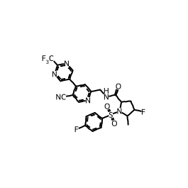 CC1C(F)CC(C(=O)NCc2cc(-c3cnc(C(F)(F)F)nc3)c(C#N)cn2)N1S(=O)(=O)c1ccc(F)cc1